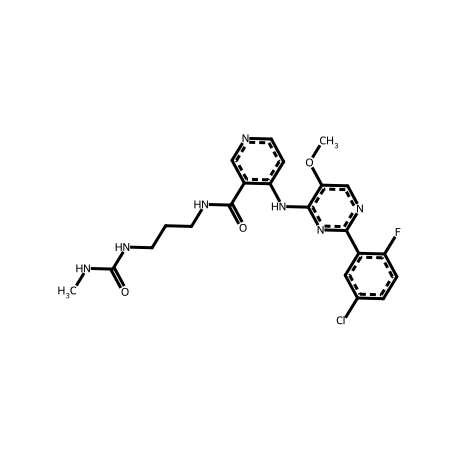 CNC(=O)NCCCNC(=O)c1cnccc1Nc1nc(-c2cc(Cl)ccc2F)ncc1OC